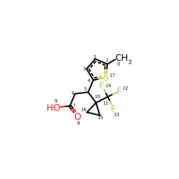 Cc1ccc(C(CC(=O)O)C2(C(F)(F)F)CC2)s1